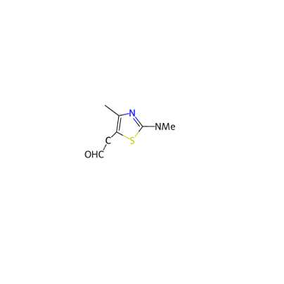 CNc1nc(C)c(CC=O)s1